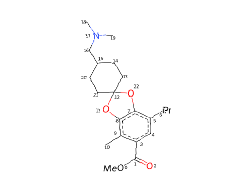 COC(=O)c1cc(C(C)C)c2c(c1C)OC1(CCC(CN(C)C)CC1)O2